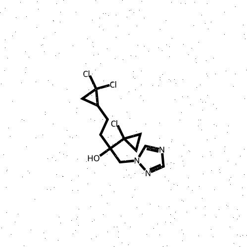 OC(CCC1CC1(Cl)Cl)(Cn1cncn1)C1(Cl)CC1